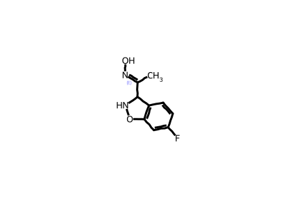 C/C(=N\O)C1NOc2cc(F)ccc21